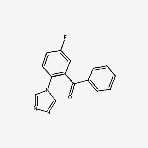 O=C(c1ccccc1)c1cc(F)ccc1-n1cnnc1